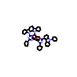 c1ccc(-c2nc(-c3cccc(-n4c5ccccc5c5ccc6c7ccccc7n(-c7nc(-c8ccccc8)nc(-c8ccccc8)n7)c6c54)c3)nc(-c3cccc4c3c3ccccc3n4-c3ccccc3)n2)cc1